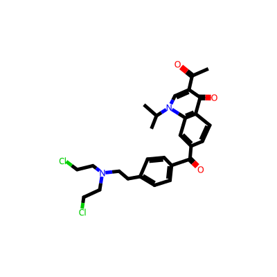 CC(=O)c1cn(C(C)C)c2cc(C(=O)c3ccc(CCN(CCCl)CCCl)cc3)ccc2c1=O